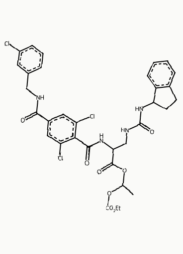 CCOC(=O)OC(C)OC(=O)C(CNC(=O)NC1CCc2ccccc21)NC(=O)c1c(Cl)cc(C(=O)NCc2cccc(Cl)c2)cc1Cl